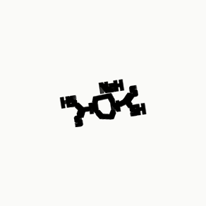 S=C(S)N1CCN(C(=S)S)CC1.[NaH]